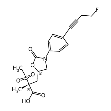 C[C@@](C[C@H]1CN(c2ccc(C#CCCF)cc2)C(=O)O1)(C(=O)O)S(C)(=O)=O